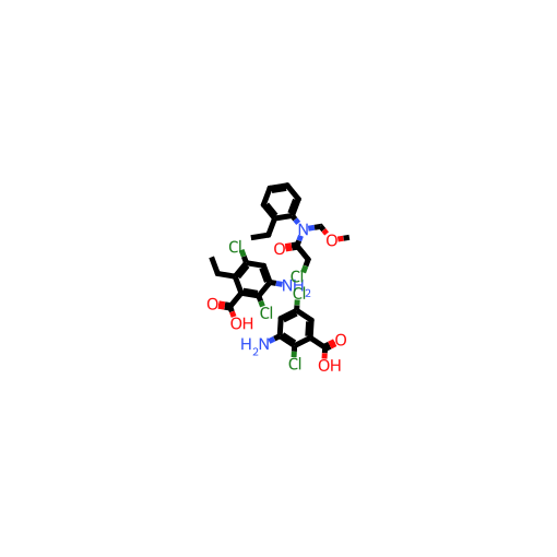 CCc1c(Cl)cc(N)c(Cl)c1C(=O)O.CCc1ccccc1N(COC)C(=O)CCl.Nc1cc(Cl)cc(C(=O)O)c1Cl